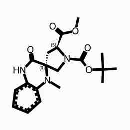 COC(=O)[C@@H]1C[C@@]2(CN1C(=O)OC(C)(C)C)C(=O)Nc1ccccc1N2C